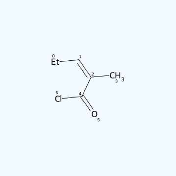 CCC=C(C)C(=O)Cl